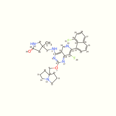 CC1(CNc2nc(OCC34CCCN3CCC4)nc3c(F)c(-c4cccc5cccc(F)c45)ncc23)CNC(=O)C1